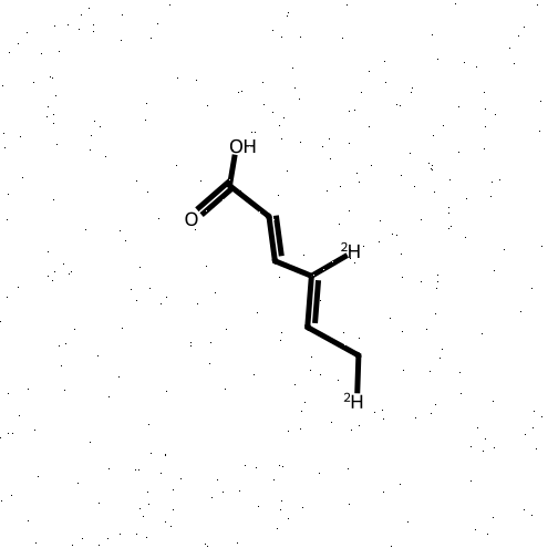 [2H]C/C=C([2H])/C=C/C(=O)O